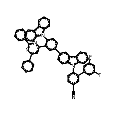 N#Cc1ccc(-n2c3ccccc3c3cc(-c4ccc(-n5c6ccccc6c6ccccc65)c(-c5cc(-c6ccccc6)nc(-c6ccccc6)n5)c4)ccc32)c(-c2cc(F)cc(F)c2)c1